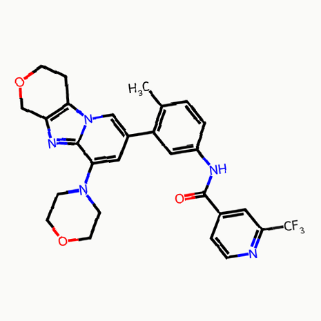 Cc1ccc(NC(=O)c2ccnc(C(F)(F)F)c2)cc1-c1cc(N2CCOCC2)c2nc3c(n2c1)CCOC3